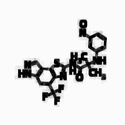 CC(C)(Nc1cccc(N=O)c1)C(=O)Nc1nc2c(C(F)(F)F)cc3[nH]ncc3c2s1